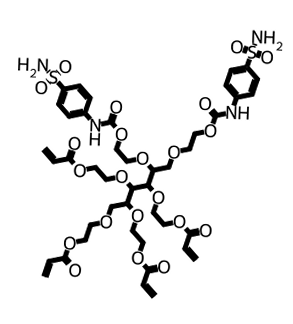 C=CC(=O)OCCOCC(OCCOC(=O)C=C)C(OCCOC(=O)C=C)C(OCCOC(=O)C=C)C(COCCOC(=O)Nc1ccc(S(N)(=O)=O)cc1)OCCOC(=O)Nc1ccc(S(N)(=O)=O)cc1